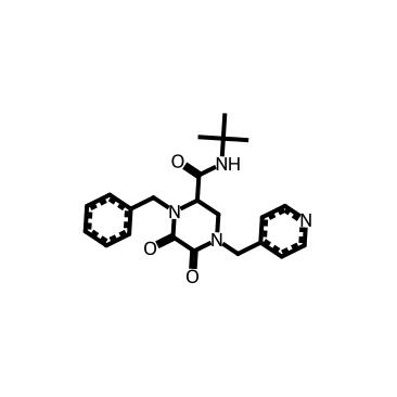 CC(C)(C)NC(=O)C1CN(Cc2ccncc2)C(=O)C(=O)N1Cc1ccccc1